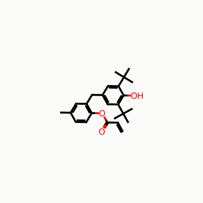 C=CC(=O)Oc1ccc(C)cc1Cc1cc(C(C)(C)C)c(O)c(C(C)(C)C)c1